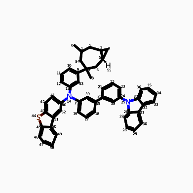 CC1CC2C[C@@H]2CC(C)(c2cccc(N(c3cccc(-c4cccc(-n5c6ccccc6c6ccccc65)c4)c3)c3ccc4sc5ccccc5c4c3)c2)C1